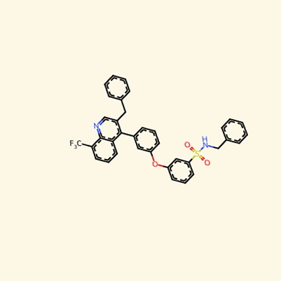 O=S(=O)(NCc1ccccc1)c1cccc(Oc2cccc(-c3c(Cc4ccccc4)cnc4c(C(F)(F)F)cccc34)c2)c1